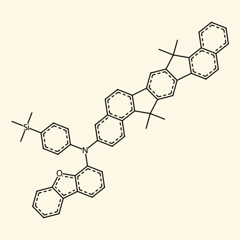 CC1(C)c2cc3c(cc2-c2ccc4ccccc4c21)C(C)(C)c1c-3ccc2cc(N(c3ccc([Si](C)(C)C)cc3)c3cccc4c3oc3ccccc34)ccc12